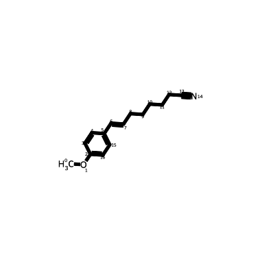 COc1ccc(/C=C/CCCCCC#N)cc1